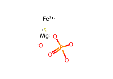 O=P([O-])([O-])[O-].[Fe+3].[Mg].[O].[S]